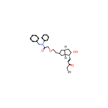 CC(C)CC(=O)C=C[C@H]1[C@@H]2CC(CCOCC(=O)N(Cc3ccccc3)c3ccccc3)C[C@H]2C[C@@H]1O